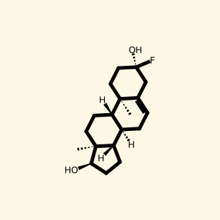 C[C@]12CC[C@H]3[C@@H](CC=C4C[C@](O)(F)CC[C@@]43C)[C@@H]1CC[C@H]2O